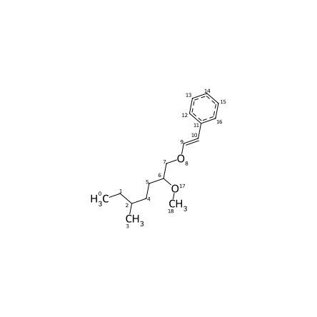 CCC(C)CCC(COC=Cc1ccccc1)OC